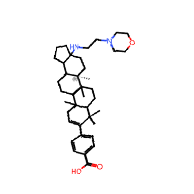 CC1(C)C(c2ccc(C(=O)O)cc2)=CCC2(C)C1CCC1(C)C2CCC2C3CCCC3(NCCN3CCOCC3)CC[C@]21C